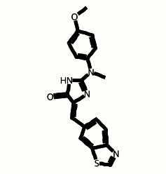 COc1ccc(N(C)C2=NC(=Cc3ccc4ncsc4c3)C(=O)N2)cc1